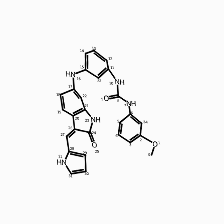 COc1cccc(NC(=O)Nc2cccc(Nc3ccc4c(c3)NC(=O)C4=Cc3ccc[nH]3)c2)c1